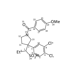 CCC(C1(c2ccc(Cl)c(Cl)c2)CCN(C(=O)c2ccc(OC)cc2)C1)S(=O)(=O)O